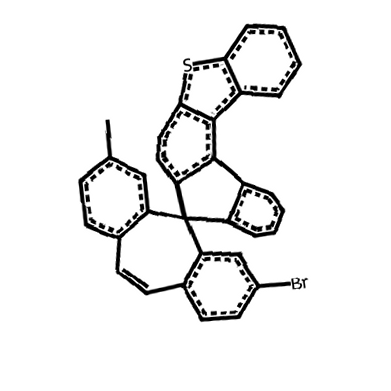 Cc1ccc2c(c1)C1(c3cc(Br)ccc3C=C2)c2ccccc2-c2c1ccc1sc3ccccc3c21